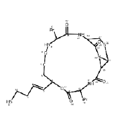 CC(C)C1NOCCC(/C=C/CCS)OC(=O)C(C(C)C)NC(=O)C2C3SCC(NC1=O)C(=O)N32